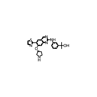 CC(C)(O)c1cccc(Nc2ncc3cc(-c4nccs4)c(O[C@@H]4CCNC4)cc3n2)c1